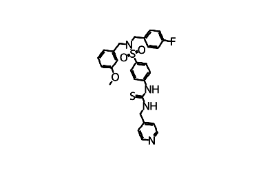 COc1cccc(CN(Cc2ccc(F)cc2)S(=O)(=O)c2ccc(NC(=S)NCc3ccncc3)cc2)c1